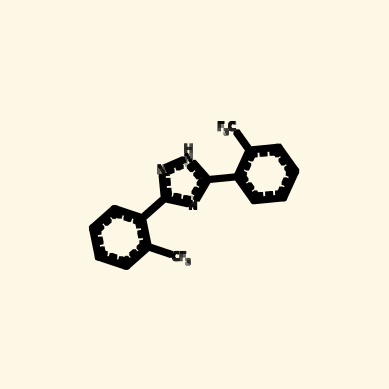 FC(F)(F)c1ccccc1-c1n[nH]c(-c2ccccc2C(F)(F)F)n1